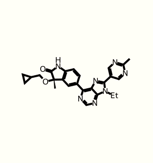 CCn1c(-c2cnc(C)nc2)nc2c(-c3ccc4c(c3)[C@](C)(OCC3CC3)C(=O)N4)ncnc21